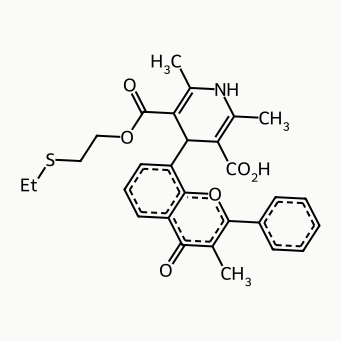 CCSCCOC(=O)C1=C(C)NC(C)=C(C(=O)O)C1c1cccc2c(=O)c(C)c(-c3ccccc3)oc12